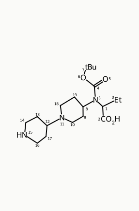 CCC(C(=O)O)N(C(=O)OC(C)(C)C)C1CCN(C2CCNCC2)CC1